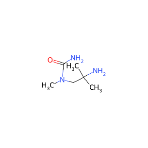 CN(CC(C)(C)N)C(N)=O